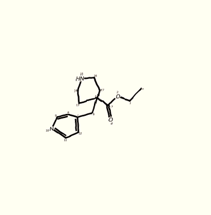 CCOC(=O)C1(Cc2ccncc2)CCNCC1